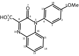 COc1ccc(-n2c(=O)c(C(=O)O)nc3ccccc32)cc1